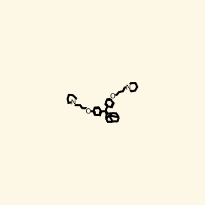 c1cc(C(=C2C3CC4CC(C3)CC2C4)c2ccc(OCCCCN3CCCCC3)cc2)ccc1OCCCCN1CCCCC1